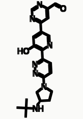 CC(C)(C)N[C@@H]1CCN(c2ccc(-c3ncc(-c4cc(C=O)ncn4)cc3O)nn2)C1